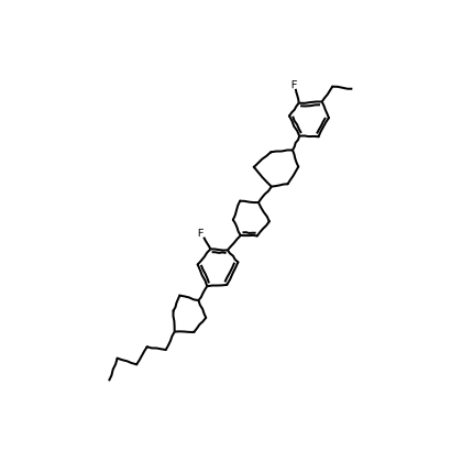 CCCCCC1CCC(c2ccc(C3=CCC(C4CCC(c5ccc(CC)c(F)c5)CC4)CC3)c(F)c2)CC1